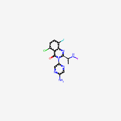 CC(NI)c1nc2c(F)ccc(Cl)c2c(=O)n1-c1cnc(N)cn1